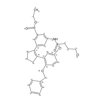 CCOC(=O)c1cc(NC(=O)CCCCl)cc(C2=C(c3cc(Cl)ccc3OCc3ccccc3)CCC2)c1